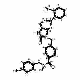 CC(C)c1ccccc1-c1ncc2[nH]c(=O)n(Cc3ccc(C(=O)N(C)Cc4ccc(F)cc4)cc3)c2n1